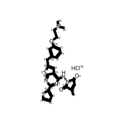 CC1=CC(=O)N(Nc2nc(-c3cccs3)nc3sc(Cc4cccc(OCCN(C)C)c4)cc23)C1=O.Cl